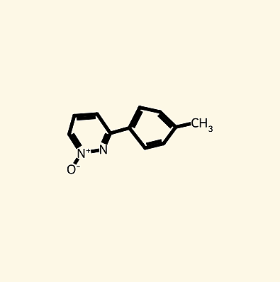 Cc1ccc(-c2ccc[n+]([O-])n2)cc1